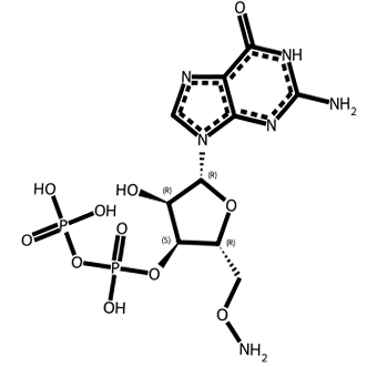 NOC[C@H]1O[C@@H](n2cnc3c(=O)[nH]c(N)nc32)[C@H](O)[C@@H]1OP(=O)(O)OP(=O)(O)O